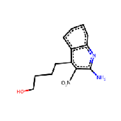 Nc1nc2ccccc2c(CCCCO)c1[N+](=O)[O-]